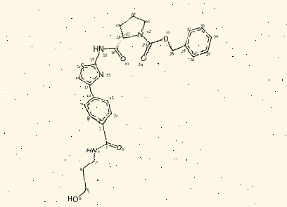 O=C(NCCCO)c1ccc(-c2csc(NC(=O)[C@@H]3CCCN3C(=O)OCc3ccccc3)n2)cc1